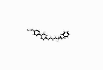 COc1ccc(N2CCN(CCCCNc3nc4ccccc4s3)CC2)cc1